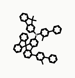 Cc1cc(-c2cccc3c2-c2ccc(N(c4ccc5c(c4)C(C)(C)c4ccccc4-5)c4ccc(-c5ccccc5)cc4C)cc2C32c3ccccc3-c3ccccc32)ccc1-c1ccccc1